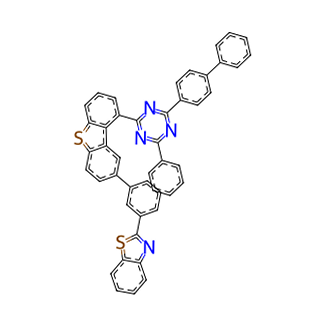 c1ccc(-c2ccc(-c3nc(-c4ccccc4)nc(-c4cccc5sc6ccc(-c7cccc(-c8nc9ccccc9s8)c7)cc6c45)n3)cc2)cc1